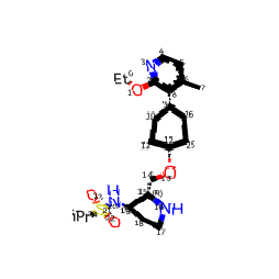 CCOc1nccc(C)c1[C@H]1CC[C@@H](OC[C@@H]2NCC[C@@H]2NS(=O)(=O)C(C)C)CC1